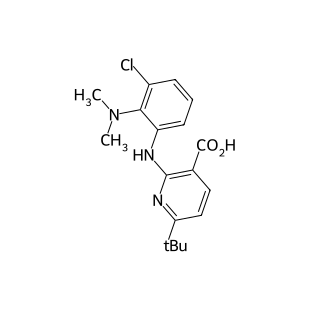 CN(C)c1c(Cl)cccc1Nc1nc(C(C)(C)C)ccc1C(=O)O